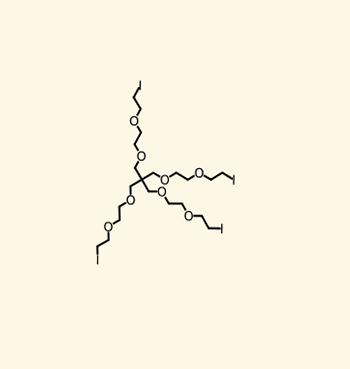 ICCOCCOCC(COCCOCCI)(COCCOCCI)COCCOCCI